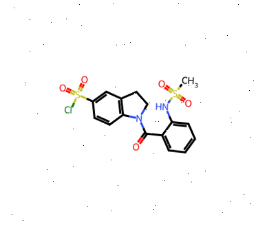 CS(=O)(=O)Nc1ccccc1C(=O)N1CCc2cc(S(=O)(=O)Cl)ccc21